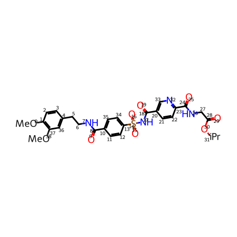 COc1ccc(CCNC(=O)c2ccc(S(=O)(=O)NC(=O)c3ccc(C(=O)NCC(=O)OC(C)C)nc3)cc2)cc1OC